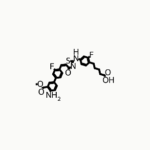 COC(=O)c1cc(-c2ccc(C=C3SC(Nc4ccc(CCCCC(=O)O)c(F)c4)=NC3=O)c(F)c2)ccc1N